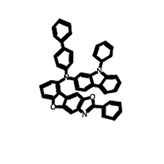 C1=CCC(n2c3ccccc3c3ccc(N(c4ccc(-c5ccccc5)cc4)c4cccc5oc6cc7nc(-c8ccccc8)oc7cc6c45)cc32)C=C1